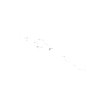 CCCCCCCCCCCC(=O)OC1CC(C)(C)N(OCC(C)(C)O)C(C)(C)C1